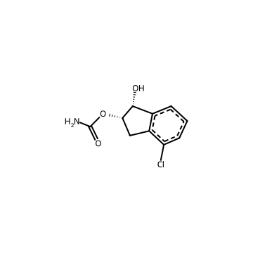 NC(=O)O[C@H]1Cc2c(Cl)cccc2[C@H]1O